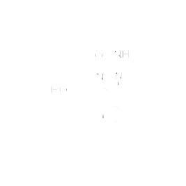 Cc1ccc(-c2[c]nc(C(N)=O)nc2OCCO)cc1